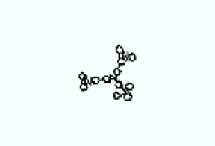 C1=CCC2C(=C1)n1c3ccccc3c3cc(-c4ccc(N(c5ccc(C6C=CC(n7c8ccccc8c8ccccc87)=CC6)cc5)c5ccc([Si](c6ccccc6)(c6ccccc6)c6ccccc6)cc5)cc4)cc2c31